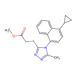 COC(=O)CSc1nnc(C)n1-c1ccc(C2CC2)c2ccccc12